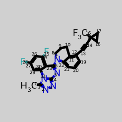 Cc1nnc2nc(N3CCCc4c(C#CC5(C(F)(F)F)CC5)cccc43)c3c(F)cc(F)cc3n12